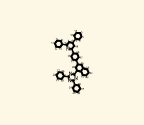 c1ccc(-c2cc(-c3ccccc3)nc(-c3ccc(-c4cc(-c5nc(-c6ccccc6)nc(-c6ccccc6)n5)c5ccccc5c4)cc3)c2)cc1